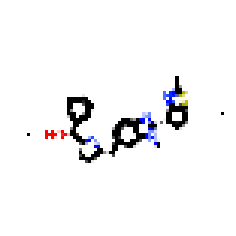 Cc1nc2c(s1)CC[C@@H]2c1nc2ccc(C[C@@H]3CC[C@H]([C@H](O)c4ccccc4)N3)cc2n1C